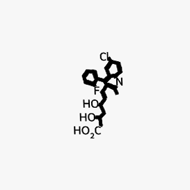 Cc1nc2ccc(Cl)cc2c(-c2ccccc2F)c1C=CC(O)CC(O)CC(=O)O